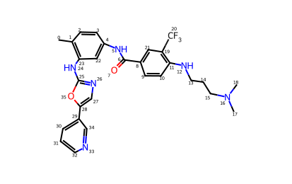 Cc1ccc(NC(=O)c2ccc(NCCCN(C)C)c(C(F)(F)F)c2)cc1Nc1ncc(-c2cccnc2)o1